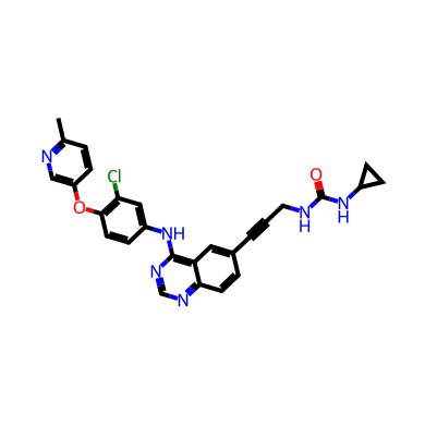 Cc1ccc(Oc2ccc(Nc3ncnc4ccc(C#CCNC(=O)NC5CC5)cc34)cc2Cl)cn1